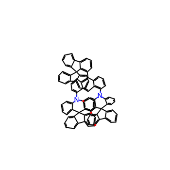 c1ccc2c(c1)-c1ccccc1C21c2ccccc2N(c2cccc3c(-c4cccc5c4C4(c6ccccc6-c6ccccc64)c4ccccc4-5)c4cccc(N5c6ccccc6C6(c7ccccc7-c7ccccc76)c6ccccc65)c4cc23)c2ccccc21